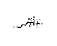 NCCCCC(O)(O)C(O)(O)C(O)(O)O